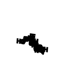 O=C(Nc1cn(-c2cccc(CO)c2)nc1C(F)(F)F)c1coc(-c2ccnc(N(CC3CC3)C(=O)O)c2)n1